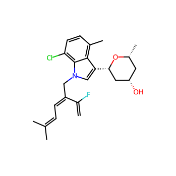 C=C(F)/C(=C\C=C(C)C)Cn1cc([C@H]2C[C@@H](O)C[C@@H](C)O2)c2c(C)ccc(Cl)c21